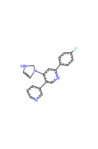 Fc1ccc(-c2cc(N3C=CNC3)c(-c3cccnc3)cn2)cc1